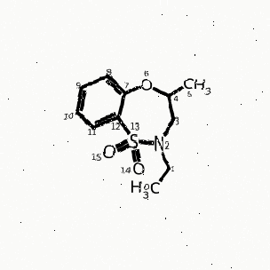 CCN1CC(C)Oc2ccccc2S1(=O)=O